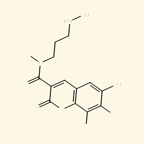 CNCCCN(C)C(=O)c1cc2cc(C)c(O)c(C)c2oc1=O